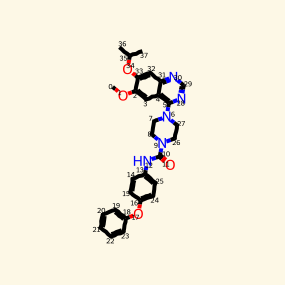 COc1cc2c(N3CCN(C(=O)Nc4ccc(Oc5ccccc5)cc4)CC3)ncnc2cc1OC(C)C